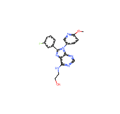 COc1ccc(-n2c(-c3cccc(F)c3)nc3c(NCCO)ncnc32)cn1